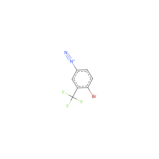 N#[N+]c1ccc(Br)c(C(F)(F)F)c1